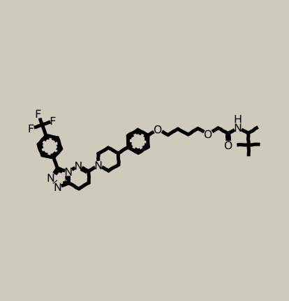 CC(NC(=O)COCCCCOc1ccc(C2CCN(C3=Nn4c(nnc4-c4ccc(C(F)(F)F)cc4)CC3)CC2)cc1)C(C)(C)C